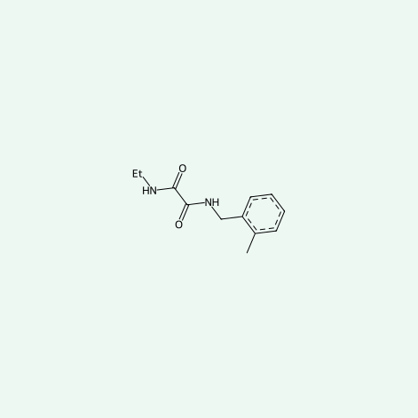 CCNC(=O)C(=O)NCc1ccccc1C